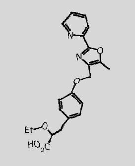 CCO[C@@H](Cc1ccc(OCc2nc(-c3ccccn3)oc2C)cc1)C(=O)O